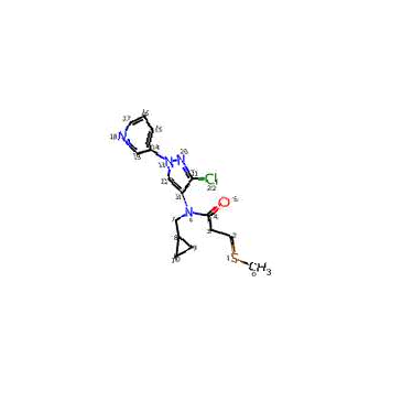 CSCCC(=O)N(CC1CC1)c1cn(-c2cccnc2)nc1Cl